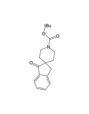 CC(C)(C)OC(=O)N1CCC2(CC1)Cc1ccccc1C2=O